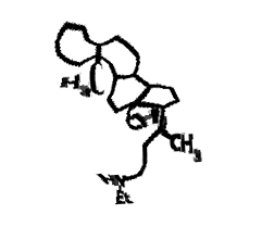 CCNCCC(C)C1CCC2C3CCC4CCCCC4(C)C3CCC12C